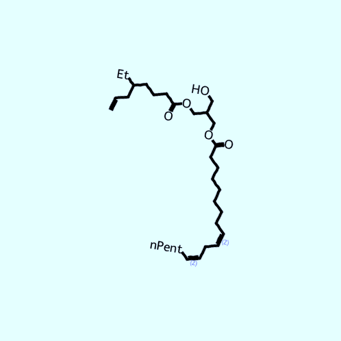 C=CCC(CC)CCCC(=O)OCC(CO)COC(=O)CCCCCCC/C=C\C/C=C\CCCCC